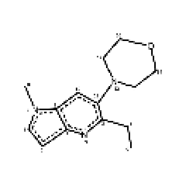 CCc1nc2ccn(C)c2cc1N1CCOCC1